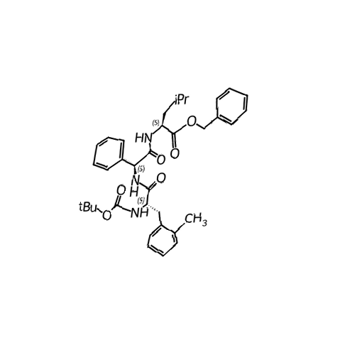 Cc1ccccc1C[C@H](NC(=O)OC(C)(C)C)C(=O)N[C@H](C(=O)N[C@@H](CC(C)C)C(=O)OCc1ccccc1)c1ccccc1